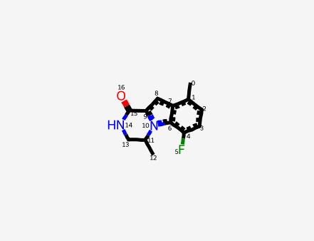 Cc1ccc(F)c2c1cc1n2C(C)CNC1=O